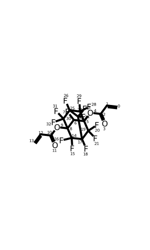 C=CC(=O)OC12C(F)C3(OC(=O)C=C)C(F)(F)C(F)(C1(F)F)C(F)(F)C(F)(C2(F)F)C3(F)F